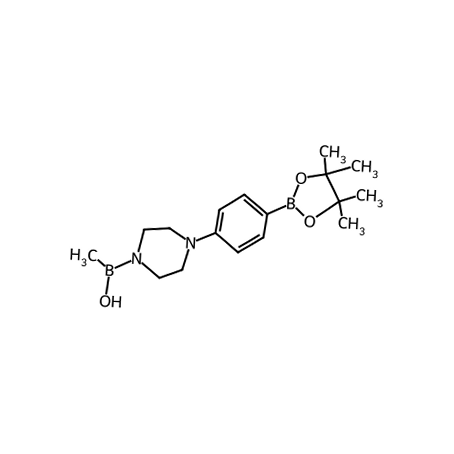 CB(O)N1CCN(c2ccc(B3OC(C)(C)C(C)(C)O3)cc2)CC1